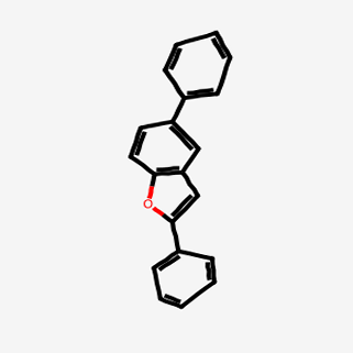 c1ccc(-c2ccc3oc(-c4ccccc4)cc3c2)cc1